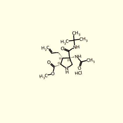 C=CC[C@H]1[C@@H](C(=O)OC)NC[C@]1(NC(C)=O)C(=O)NC(C)(C)C.Cl